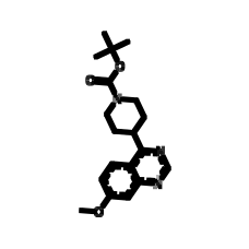 COc1ccc2c(C3CCN(C(=O)OC(C)(C)C)CC3)ncnc2c1